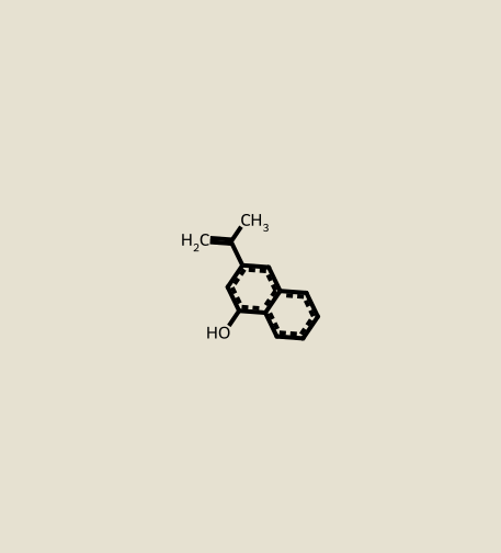 C=C(C)c1cc(O)c2ccccc2c1